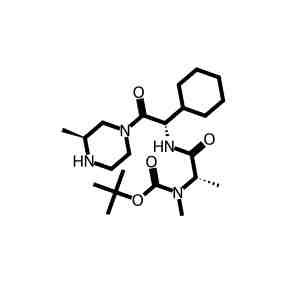 C[C@H]1CN(C(=O)[C@@H](NC(=O)[C@H](C)N(C)C(=O)OC(C)(C)C)C2CCCCC2)CCN1